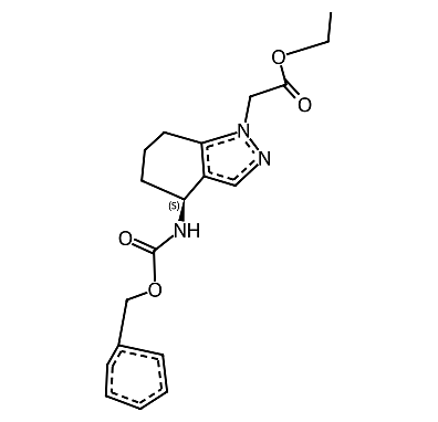 CCOC(=O)Cn1ncc2c1CCC[C@@H]2NC(=O)OCc1ccccc1